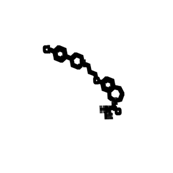 CCNC(=O)N1CCCc2ccc(OCCCN3CCC(c4ccc(Cl)cc4)CC3)cc2C1